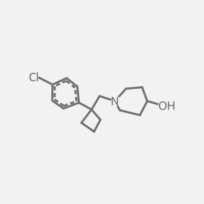 OC1CCN(CC2(c3ccc(Cl)cc3)CCC2)CC1